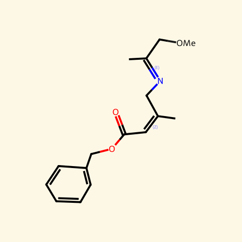 COC/C(C)=N/C/C(C)=C\C(=O)OCc1ccccc1